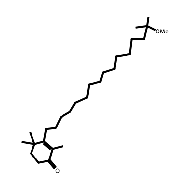 COC(C)(C)CCCCCCCCCCCCCCC1=C(C)C(=O)CCC1(C)C